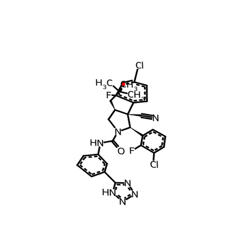 CC(C)(C)C[C@@H]1CN(C(=O)Nc2cccc(-c3nnn[nH]3)c2)[C@H](c2cccc(Cl)c2F)[C@@]1(C#N)c1ccc(Cl)cc1F